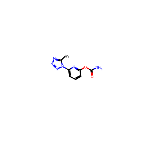 CC(C)c1nnnn1-c1cccc(OC(N)=O)n1